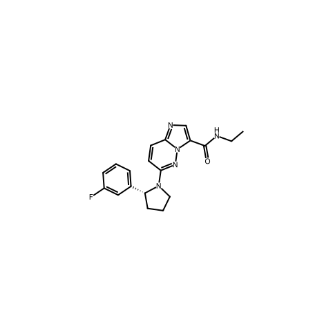 CCNC(=O)c1cnc2ccc(N3CCC[C@@H]3c3cccc(F)c3)nn12